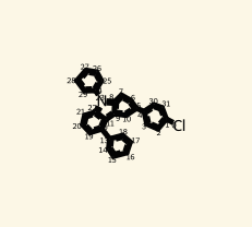 Clc1ccc(-c2ccc3c(c2)c2c(-c4ccccc4)cccc2n3-c2ccccc2)cc1